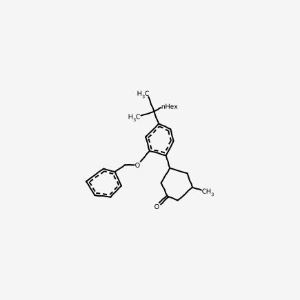 CCCCCCC(C)(C)c1ccc(C2CC(=O)CC(C)C2)c(OCc2ccccc2)c1